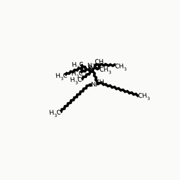 CCCCCCCCCCCCCCCCCCCC#[C][Ni][C]#CCCCCCCCCCCCCCCCCCCC.CCCCCCCCc1c(C)cc(C2=C(CCCCC)C(CCCCCC)=C(c3cc(C)c(CCCCCCCC)c(C)c3)[N+]2=[N-])cc1C